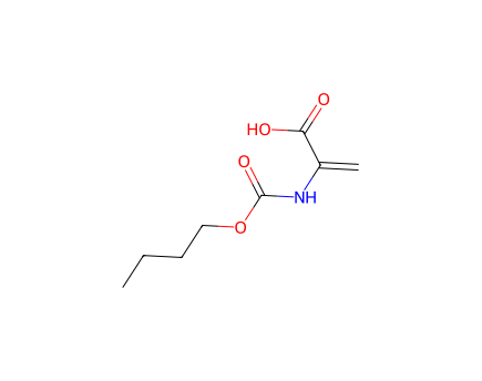 C=C(NC(=O)OCCCC)C(=O)O